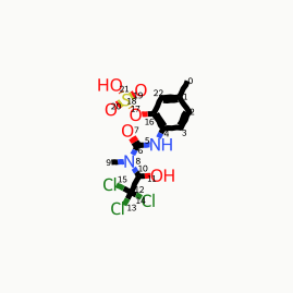 Cc1ccc(NC(=O)N(C)C(O)C(Cl)(Cl)Cl)c(OS(=O)(=O)O)c1